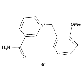 COc1ccccc1C[n+]1cccc(C(N)=O)c1.[Br-]